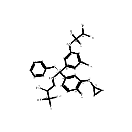 OC(CN[C@@](Cc1ccccc1)(c1cc(F)cc(OC(F)(F)C(F)F)c1)c1ccc(F)c(OC2CC2)c1)C(F)(F)F